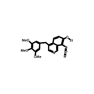 CCOc1ccc2c(Cc3cc(OC)c(OC)c(OC)c3)cncc2c1N=[N+]=[N-]